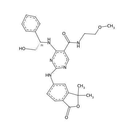 COCCNC(=O)c1cnc(Nc2ccc3c(c2)C(C)(C)OC3=O)nc1N[C@H](CO)c1ccccc1